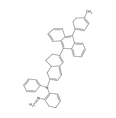 C=NC1=C(N(C2=CC=C3C=C(c4c5ccccc5c(C5=CC=C(C)CC5)c5ccccc45)CCC3C2)c2ccccc2)C=CCC1